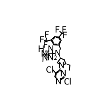 CC[C@@H]1C[C@H](N(Cc2cc(C(F)(F)F)cc(C(F)(F)F)c2)/C(N)=N/N(C)N)CN1c1nc(Cl)ncc1Cl